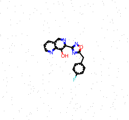 Oc1c(-c2noc(Cc3ccc(F)cc3)n2)ncc2cccnc12